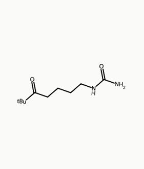 CC(C)(C)C(=O)CCCCNC(N)=O